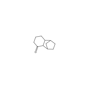 O=C1CCCC2C3CCC(C3)C12